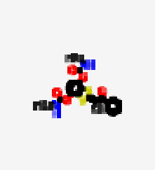 CCCCNC(=O)Oc1ccc(OC(=O)NCCCC)c2c1SC(=C(C#N)C(=O)c1ccccc1)S2